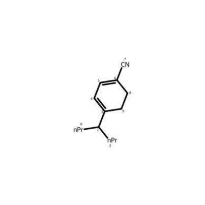 CCCC(CCC)C1=CC=C(C#N)CC1